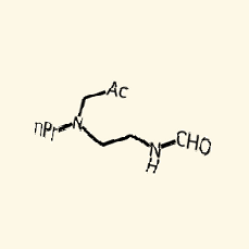 CCCN(CCNC=O)CC(C)=O